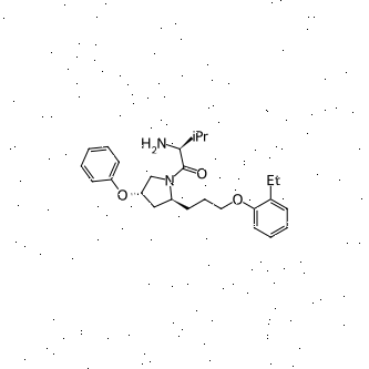 CCc1ccccc1OCCC[C@H]1C[C@H](Oc2ccccc2)CN1C(=O)[C@@H](N)C(C)C